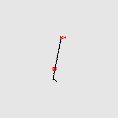 CCCC/C=C\CCCCCCCC(=O)OCCCCCCCCCCCCCCCCCCCCCCCCCCCO